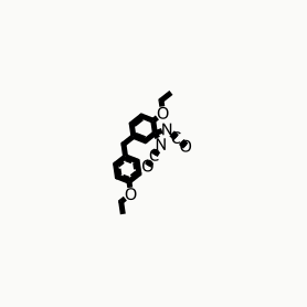 CCOc1ccc(CC2=CC(N=C=O)(N=C=O)C(OCC)C=C2)cc1